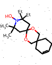 CCC1(CC)CC2(CC(C)(C)N1O)OCC1(CC=CCC1)CO2